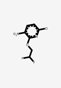 O=[N+]([O-])c1ccc(Cl)nc1OCC(F)F